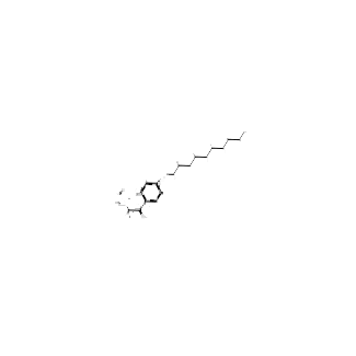 CCCCCCCCCCOc1ccc(C(=O)C(O)S(=O)(=O)O)cc1